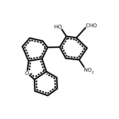 O=Cc1cc([N+](=O)[O-])cc(-c2cccc3oc4ccccc4c23)c1O